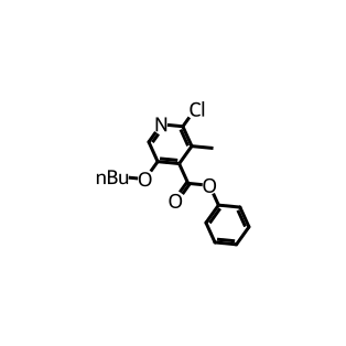 CCCCOc1cnc(Cl)c(C)c1C(=O)Oc1ccccc1